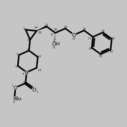 CC(C)(C)OC(=O)N1CCC(C2C[C@H]2C[C@@H](O)COCc2ccccc2)CC1